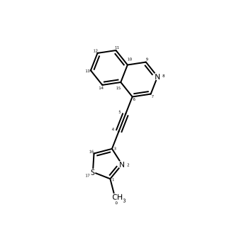 Cc1nc(C#Cc2cncc3ccccc23)cs1